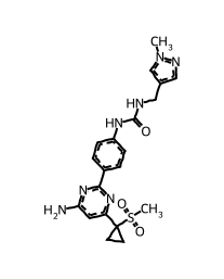 Cn1cc(CNC(=O)Nc2ccc(-c3nc(N)cc(C4(S(C)(=O)=O)CC4)n3)cc2)cn1